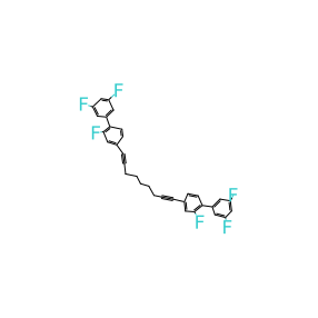 Fc1cc(F)cc(-c2ccc(C#CCCCCCC#Cc3ccc(-c4cc(F)cc(F)c4)c(F)c3)cc2F)c1